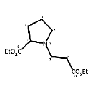 CCOC(=O)CCN1CCCC1C(=O)OCC